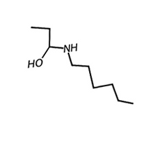 CCCCCCNC(O)CC